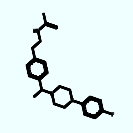 CC(=O)NCCc1ccc(C(C)N2CCN(c3ccc(F)cc3)CC2)cc1